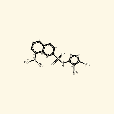 Cc1noc(NS(=O)(=O)c2ccc3cccc(N(C)C)c3c2)c1C